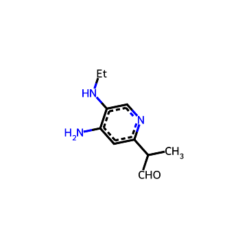 CCNc1cnc(C(C)C=O)cc1N